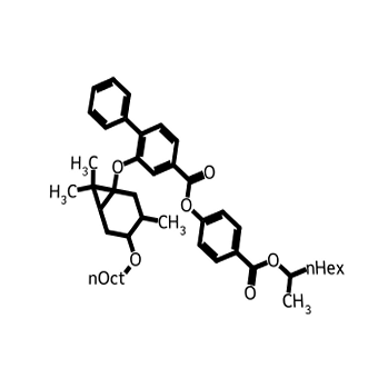 CCCCCCCCOC1CC2C(C)(C)C2(Oc2cc(C(=O)Oc3ccc(C(=O)OC(C)CCCCCC)cc3)ccc2-c2ccccc2)CC1C